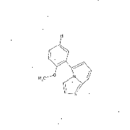 COc1ccc(Cl)cc1-c1cccc2nccn12